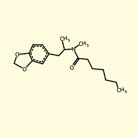 CCCCCCC(=O)N(C)C(C)Cc1ccc2c(c1)OCO2